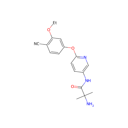 CCOc1cc(Oc2ccc(NC(=O)C(C)(C)N)cn2)ccc1C#N